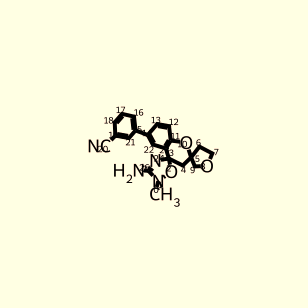 CN1OC2(CC3(CCOC3)Oc3ccc(-c4cccc(C#N)c4)cc32)N=C1N